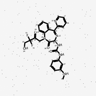 CNc1cccc(NC(=O)N[C@@H]2N=C(c3ccccn3)c3ccccc3N(CC(=O)C(F)(F)CO)C2=O)c1